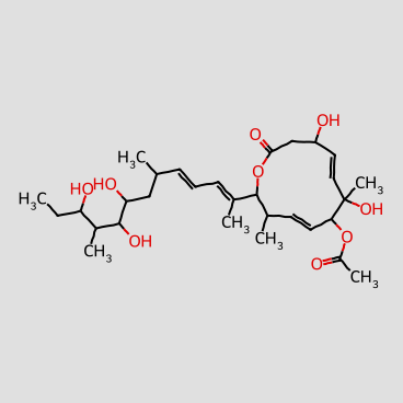 CCC(O)C(C)C(O)C(O)CC(C)/C=C/C=C(\C)C1OC(=O)CC(O)/C=C/C(C)(O)C(OC(C)=O)/C=C/C1C